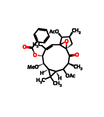 CO[C@H]1[C@H]2[C@@H](C(OC(C)=O)[C@H](C)C(=O)[C@@]34C[C@H](C)[C@H](OC(C)=O)C3(/C=C(/C)[C@H]1OC(=O)c1ccccc1)O4)C2(C)C